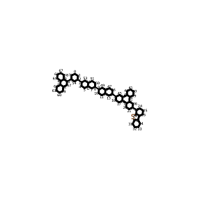 c1cc(-c2ccc3cc(-c4ccc5cc(-c6ccc7c8ccc(-c9cccc%10c9sc9ccccc9%10)cc8c8ccccc8c7c6)ccc5c4)ccc3c2)cc(-c2cc3ccccc3c3ccccc23)c1